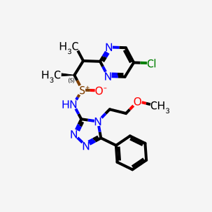 COCCn1c(N[S+]([O-])[C@@H](C)C(C)c2ncc(Cl)cn2)nnc1-c1ccccc1